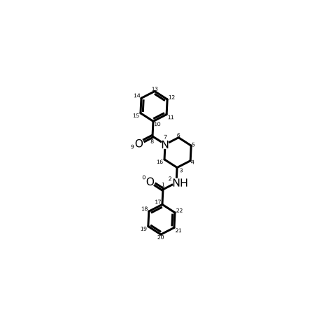 O=C(NC1CCCN(C(=O)c2ccccc2)C1)c1ccccc1